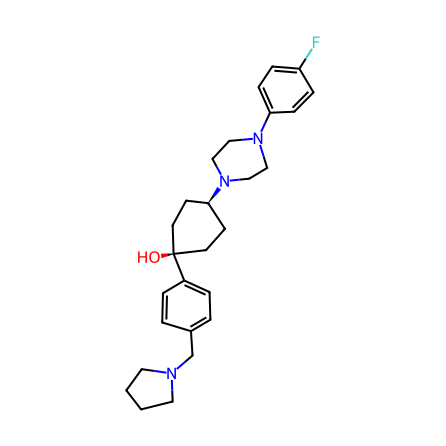 O[C@]1(c2ccc(CN3CCCC3)cc2)CC[C@H](N2CCN(c3ccc(F)cc3)CC2)CC1